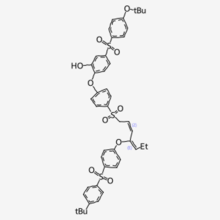 CC/C=C(\C=C/CS(=O)(=O)c1ccc(Oc2ccc(S(=O)(=O)c3ccc(OC(C)(C)C)cc3)cc2O)cc1)Oc1ccc(S(=O)(=O)c2ccc(C(C)(C)C)cc2)cc1